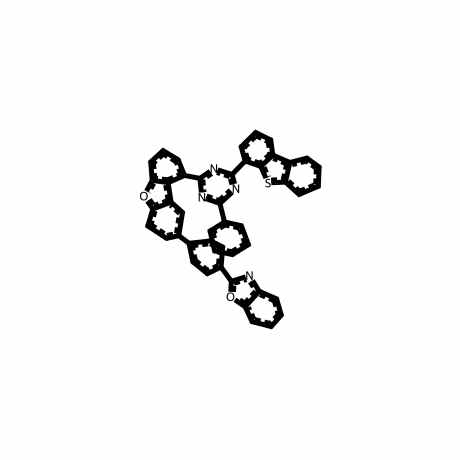 c1ccc(-c2nc(-c3cccc4c3sc3ccccc34)nc(-c3cccc4oc5ccc(-c6ccc(-c7nc8ccccc8o7)cc6)cc5c34)n2)cc1